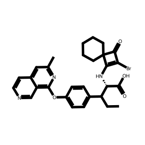 CCC(c1ccc(Oc2nc(C)cc3ccncc23)cc1)[C@H](NC1=C(Br)C(=O)C12CCCCC2)C(=O)O